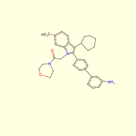 Nc1cccc(-c2ccc(-c3c(C4CCCCC4)c4ccc(C(=O)O)cc4n3CC(=O)N3CCOCC3)cc2)c1